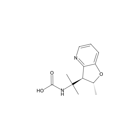 C[C@H]1Oc2cccnc2[C@@H]1C(C)(C)NC(=O)O